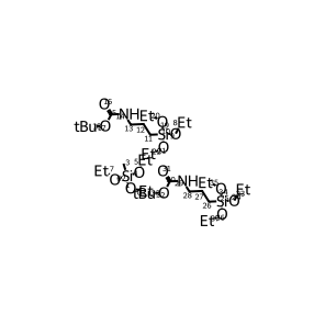 CCO[Si](C)(OCC)OCC.CCO[Si](CCCNC(=O)OC(C)(C)C)(OCC)OCC.CCO[Si](CCCNC(=O)OC(C)(C)C)(OCC)OCC